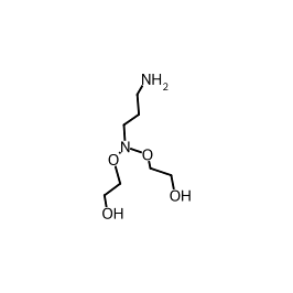 NCCCN(OCCO)OCCO